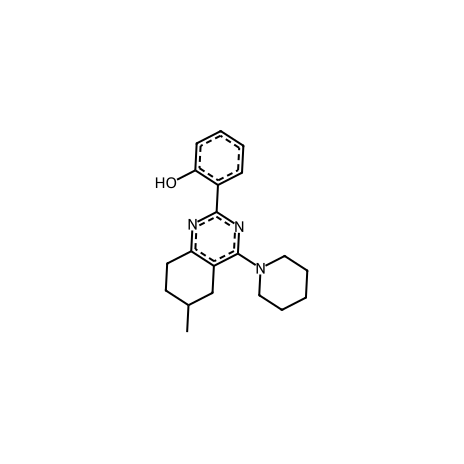 CC1CCc2nc(-c3ccccc3O)nc(N3CCCCC3)c2C1